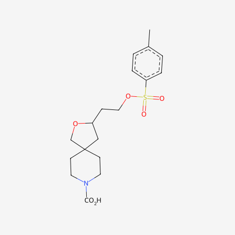 Cc1ccc(S(=O)(=O)OCCC2CC3(CCN(C(=O)O)CC3)CO2)cc1